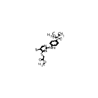 CN=S(C)(=O)c1ccc(Nc2ncc(Br)c(SCC(=O)OC)n2)cc1